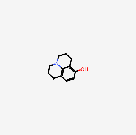 Oc1ccc2c3c1CCCN3CC[CH]2